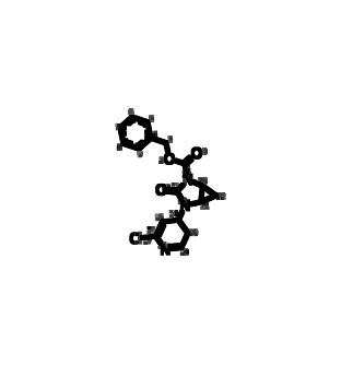 O=C(OCc1ccccc1)N1C(=O)N(C2C=C(Cl)N=CC2)C2CC21